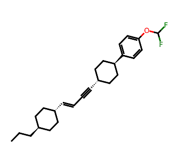 CCC[C@H]1CC[C@H](C=CC#C[C@H]2CC[C@H](c3ccc(OC(F)F)cc3)CC2)CC1